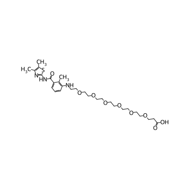 Cc1nc(NC(=O)c2cccc(NCCOCCOCCOCCOCCOCCOCCC(=O)O)c2C)sc1C